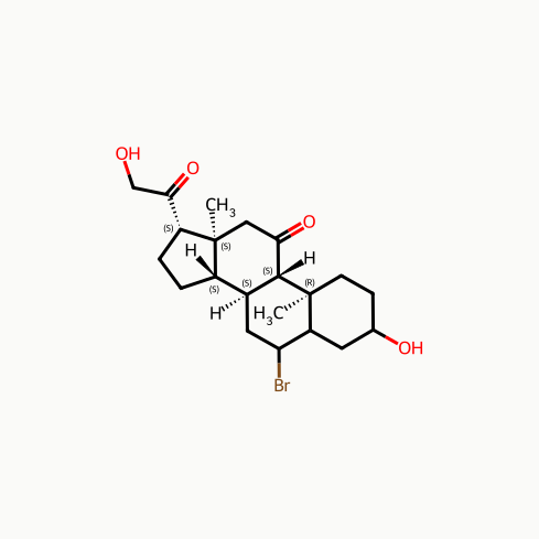 C[C@]12CC(=O)[C@H]3[C@@H](CC(Br)C4CC(O)CC[C@@]43C)[C@@H]1CC[C@@H]2C(=O)CO